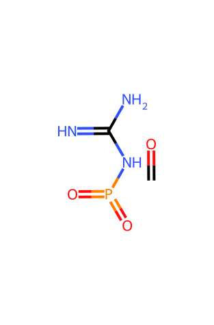 C=O.N=C(N)NP(=O)=O